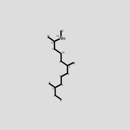 [CH2]CC(C)CCCC(C)CCCC(C)NC